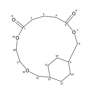 O=C1CCCC(=O)OCC2CCC(CC2)COCCO1